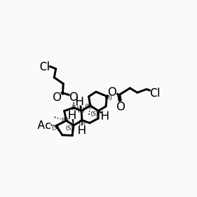 CC(=O)[C@H]1CC[C@H]2[C@@H]3CC[C@H]4C[C@H](OC(=O)CCCCl)CC[C@]4(C)[C@H]3[C@@H](OC(=O)CCCCl)C[C@]12C